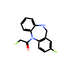 O=C(CF)N1c2ccc(F)cc2CNc2ccccc21